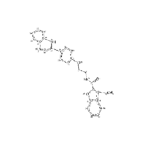 Cc1c(C(=O)NCCOc2ccc(C(=O)Nc3ccccc3N)cc2)oc2ccccc12